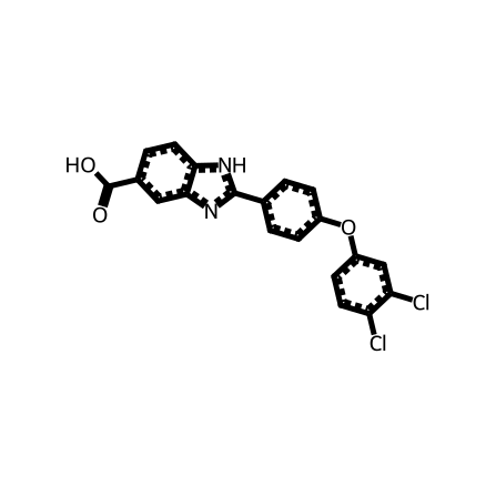 O=C(O)c1ccc2[nH]c(-c3ccc(Oc4ccc(Cl)c(Cl)c4)cc3)nc2c1